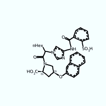 CCCCCCC(C(=O)N1C[C@@H](Oc2ccc3ccccc3c2)C[C@H]1C(=O)O)n1cnc(NC(=O)c2ccccc2S(=O)(=O)O)c1